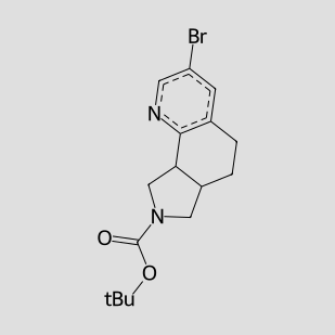 CC(C)(C)OC(=O)N1CC2CCc3cc(Br)cnc3C2C1